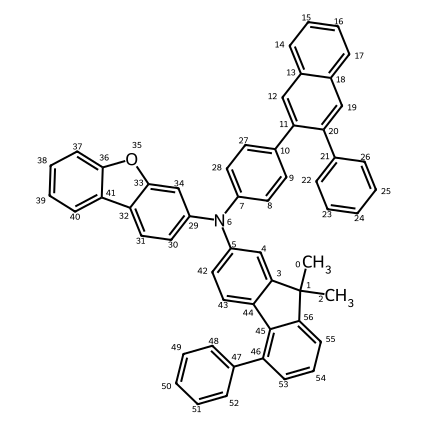 CC1(C)c2cc(N(c3ccc(-c4cc5ccccc5cc4-c4ccccc4)cc3)c3ccc4c(c3)oc3ccccc34)ccc2-c2c(-c3ccccc3)cccc21